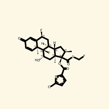 C[C@@H]1C[C@H]2[C@@H]3C[C@H](F)C4=CC(=O)C=C[C@]4(C)[C@@]3(F)[C@@H](O)C[C@]2(C)[C@@]1(OC(=O)c1ccc(Cl)s1)C(=O)SCF